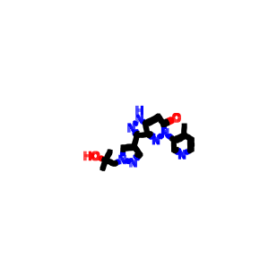 Cc1ccncc1-n1nc2c(-c3cnn(CC(C)(C)O)c3)n[nH]c2cc1=O